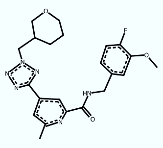 COc1cc(CNC(=O)c2cc(-c3nnn(CC4CCCOC4)n3)cc(C)n2)ccc1F